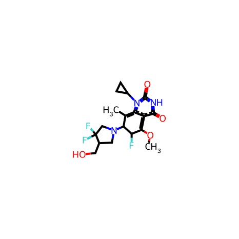 COC1=c2c(=O)[nH]c(=O)n(C3CC3)c2=C(C)C(N2CC(CO)C(F)(F)C2)C1F